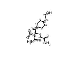 N=C(N)N(C(CCC(N)=O)C(=O)N1CCC(CCO)CC1)[N+](=O)[O-]